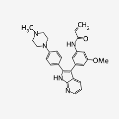 C=CC(=O)Nc1cc(OC)cc(-c2c(-c3ccc(N4CCN(C)CC4)cc3)[nH]c3ncccc23)c1